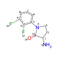 NC1CCN(c2cccc(F)c2F)C1=O